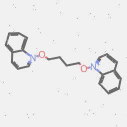 c1ccc2c(c1)ccc[n+]2OCCCCO[n+]1cccc2ccccc21